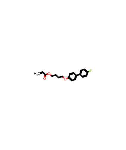 C=CC(=O)OCCCCOc1ccc(-c2ccc(F)cc2)cc1